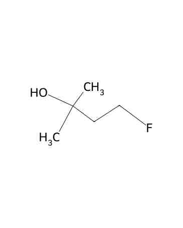 CC(C)(O)CCF